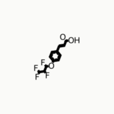 O=C(O)C=Cc1ccc(OC(F)C(F)C(F)F)cc1